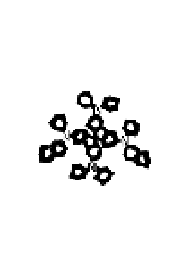 C1=CC(N(c2ccccc2)c2ccc3c(c2)-c2cc(N(C4=Cc5ccccc5CC4)c4ccccc4)ccc2C32C3=C(CC(N(c4ccccc4)c4ccccc4)C=C3)c3cc(N(c4ccccc4)c4ccc5ccccc5c4)ccc32)=CCC1